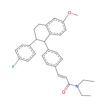 CCN(CC)C(=O)/C=C/c1ccc(C2c3ccc(OC)cc3CCC2c2ccc(F)cc2)cc1